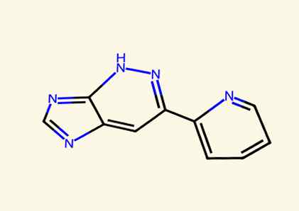 c1ccc(-c2cc3ncnc-3[nH]n2)nc1